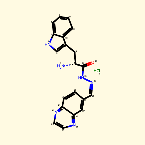 Cl.N[C@H](Cc1c[nH]c2ccccc12)C(=O)N/N=C\c1ccc2nccnc2c1